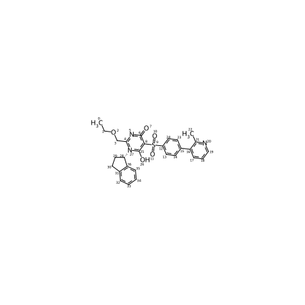 CCOCc1nc(=O)c(S(=O)(=O)c2ccc(-c3cccnc3C)cc2)c(O)n1[C@H]1CCc2ccccc21